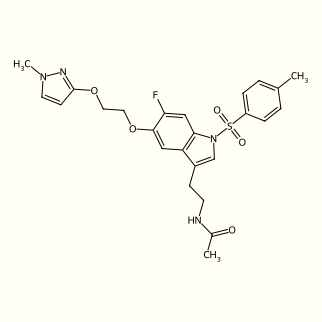 CC(=O)NCCc1cn(S(=O)(=O)c2ccc(C)cc2)c2cc(F)c(OCCOc3ccn(C)n3)cc12